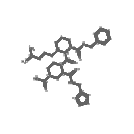 CN(C)CCC[C@H]1CCCN(C(=O)OCc2ccccc2)[C@H]1C(=O)N1CCN(C(=O)O)CC1C(=O)NCc1cccs1